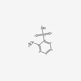 O=S(=O)(O)c1ccccc1F.[Tb]